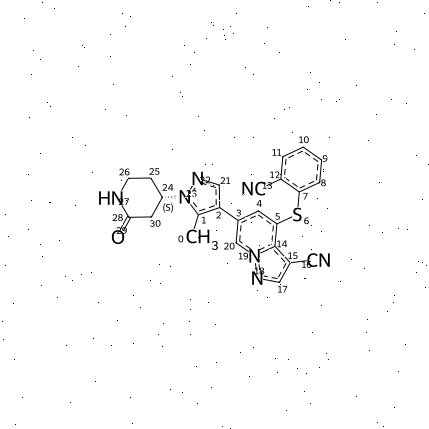 Cc1c(-c2cc(Sc3ccccc3C#N)c3c(C#N)cnn3c2)cnn1[C@H]1CCNC(=O)C1